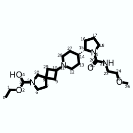 CCOC(O)N1CCC2(CC(N3CCC([C@@H]4CCCN4C(=O)NCCOC)CC3)C2)C1